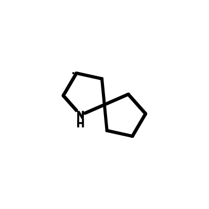 [CH]1CNC2(C1)CCCC2